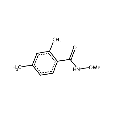 CONC(=O)c1ccc(C)cc1C